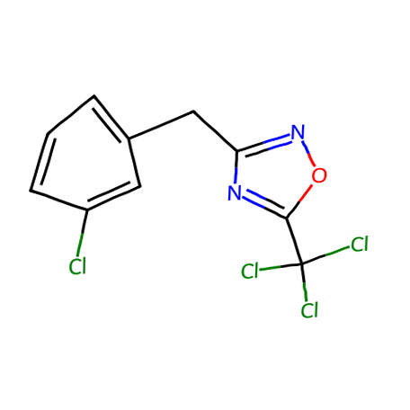 Clc1cccc(Cc2noc(C(Cl)(Cl)Cl)n2)c1